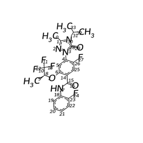 Cc1nn(-c2cc(O[C@@H](C)C(F)(F)F)c(C(=O)Nc3ccccc3F)cc2F)c(=O)n1C(C)C